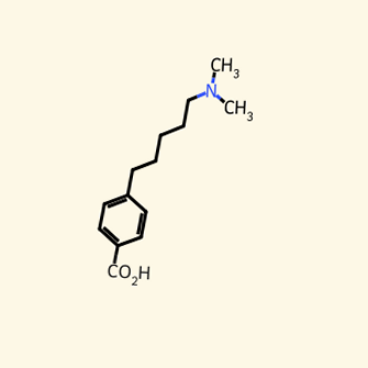 CN(C)CCCCCc1ccc(C(=O)O)cc1